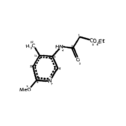 CCOC(=O)CC(=O)Nc1cnc(OC)cc1C